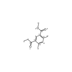 CCC(=O)c1cc(C(=O)OC)c(C)cc1C